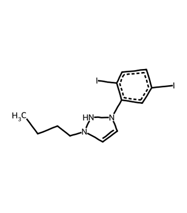 CCCCN1C=CN(c2cc(I)ccc2I)N1